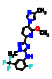 COc1nc(-c2nc(Nc3cc(C(F)(F)F)ccc3F)n(C)n2)ccc1-n1cnc(C)c1